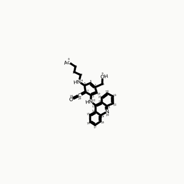 CC(=O)CCCNC1C=C(CO)C=C(Nc2c3ccccc3nc3ccccc23)C1=C=O